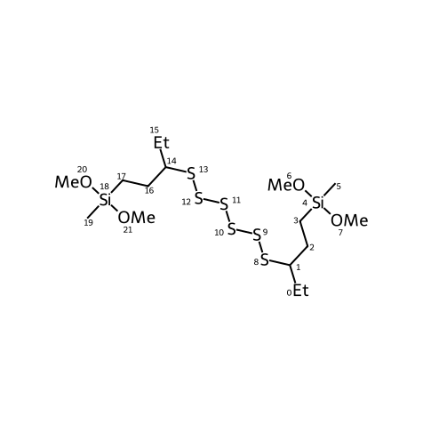 CCC(CC[Si](C)(OC)OC)SSSSSSC(CC)CC[Si](C)(OC)OC